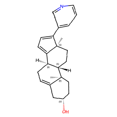 C[C@]12CC[C@H]3[C@@H](CC=C4C[C@@H](O)CC[C@@]43C)C1=CC=C2c1cccnc1